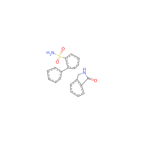 NS(=O)(=O)c1ccccc1-c1ccccc1.O=C1NCc2ccccc21